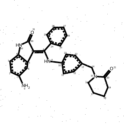 Nc1ccc2c(c1)C(=C(Nc1ccc(CN3CCCCC3=O)cc1)c1ccccc1)C(=O)N2